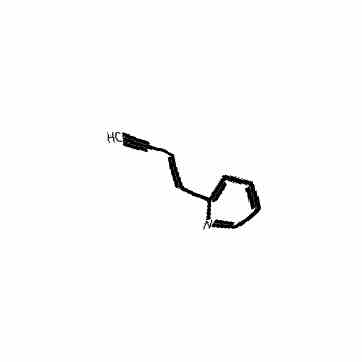 C#CC=Cc1ccccn1